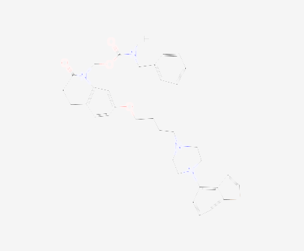 CN(Cc1ccccc1)C(=O)OCN1C(=O)CCc2ccc(OCCCCN3CCN(c4cccc5sccc45)CC3)cc21